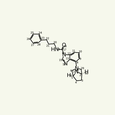 CN1[C@@H]2CC[C@H]1CN(c1cccc3c1ncn3C(=O)NCCCc1ccccc1)C2